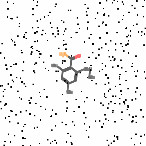 CC(C)(C)c1cc(C(C)(C)C)c(C(=O)P)c(C(C)(C)C)c1.[Li][CH2]CCC